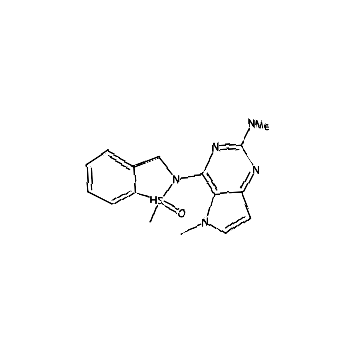 CNc1nc(N2Cc3ccccc3[SH]2(C)=O)c2c(ccn2C)n1